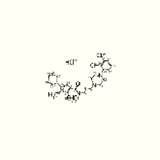 Cc1c(C(=O)N(C)CCCN2CCN(c3cccc(Cl)c3Cl)CC2)cc(-c2ccccc2)n1C.Cl